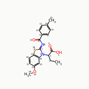 CCC(C(=O)O)n1c(=NC(=O)c2ccc(C)cc2)sc2ccc(OC)cc21